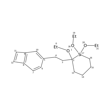 CCOC1(CCc2ccc3c(c2)C=C3)CCCC[Si]1(OCC)OCC